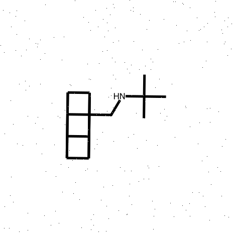 CC(C)(C)NCC12C3C4C5C3C1C5C42